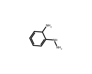 NNC1=CC=C=CC1N